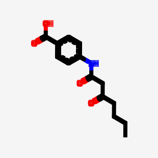 CCCCC(=O)CC(=O)Nc1ccc(C(=O)O)cc1